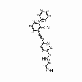 N#Cc1c(C#Cc2ccc(CNCCO)nn2)cccc1-c1ccccc1